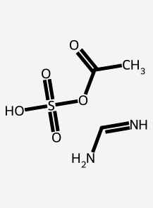 CC(=O)OS(=O)(=O)O.N=CN